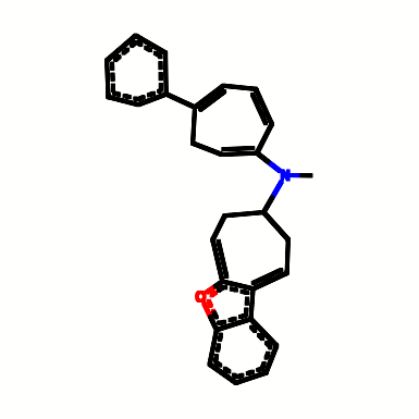 CN(C1=CCC(c2ccccc2)=CC=C1)C1CC=c2oc3ccccc3c2=CC1